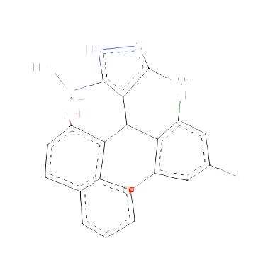 CSc1n[nH]c(N(C)C)c1C(c1c(Cl)cc(Cl)cc1Cl)c1c(O)ccc2ccccc12